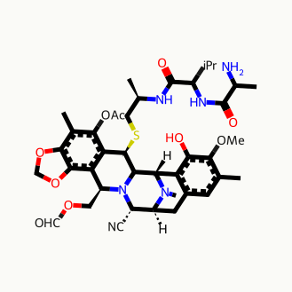 COc1c(C)cc2c(c1O)[C@H]1C3[C@H](SC[C@@H](C)NC(=O)C(NC(=O)C(C)N)C(C)C)c4c(OC(C)=O)c(C)c5c(c4[C@H](COC=O)N3[C@@H](C#N)[C@H](C2)N1C)OCO5